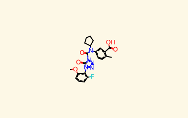 COc1cccc(F)c1-n1nnn(C(=O)N(c2ccc(C)c(C(=O)O)c2)C2CCCC2)c1=O